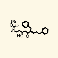 CN(CCC(O)CC(=O)/C(=C/CCc1ccccc1)Cc1ccccc1)C(=O)OC(C)(C)C